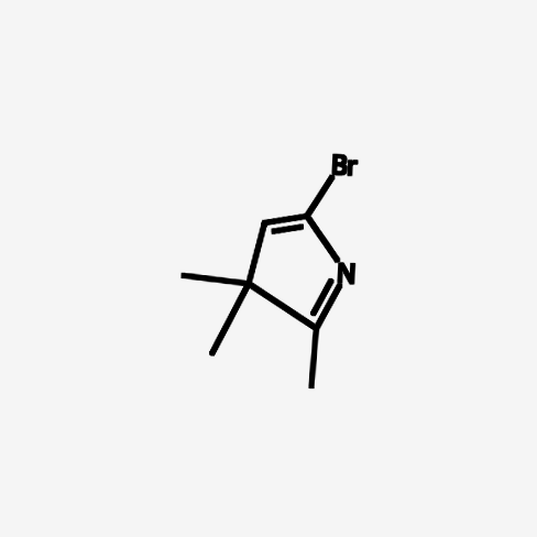 CC1=NC(Br)=CC1(C)C